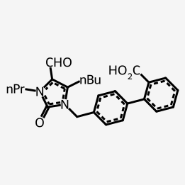 CCCCc1c(C=O)n(CCC)c(=O)n1Cc1ccc(-c2ccccc2C(=O)O)cc1